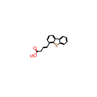 O=C(O)CC=Cc1cccc2c1sc1ccccc12